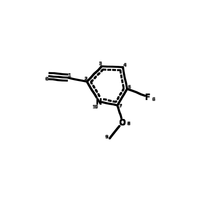 C#Cc1ccc(F)c(OC)n1